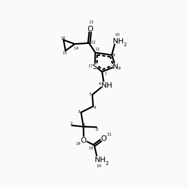 CC(C)(CCCNc1nc(N)c(C(=O)C2CC2)s1)OC(N)=O